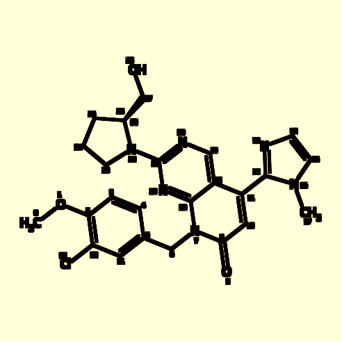 COc1ccc(Cn2c(=O)cc(-c3nccn3C)c3cnc(N4CCC[C@H]4CO)nc32)cc1Cl